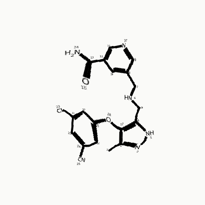 Cc1n[nH]c(CNCc2cncc(C(N)=O)c2)c1Oc1cc(Cl)cc(C#N)c1